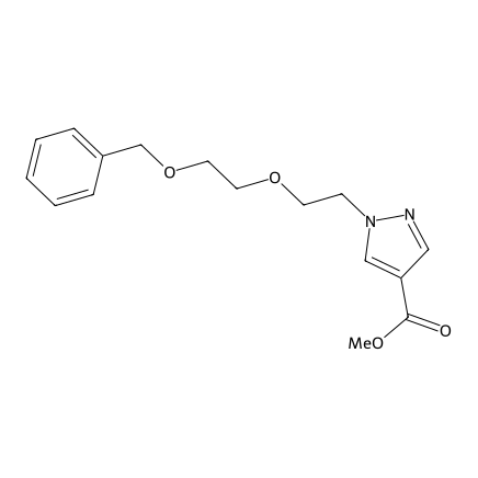 COC(=O)c1cnn(CCOCCOCc2ccccc2)c1